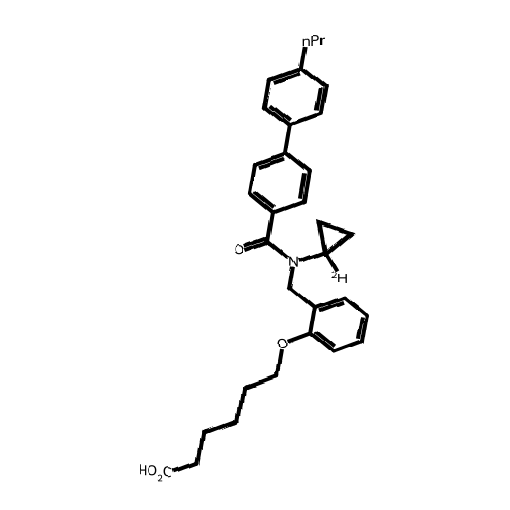 [2H]C1(N(Cc2ccccc2OCCCCCC(=O)O)C(=O)c2ccc(-c3ccc(CCC)cc3)cc2)CC1